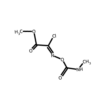 CNC(=O)ON=C(Cl)C(=O)OC